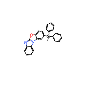 C[Si](c1ccccc1)(c1ccccc1)c1ccc2oc3nc4ccccc4n3c2c1